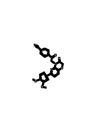 COc1ccc(-c2ccc3c(n2)N(CC(=O)c2ccc(C#N)cc2)C(=O)CO3)cc1OC